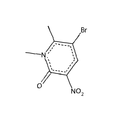 Cc1c(Br)cc([N+](=O)[O-])c(=O)n1C